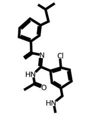 C=C(/N=C(\NC(C)=O)c1cc(CNC)ccc1Cl)c1cccc(CC(C)C)c1